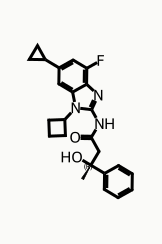 C[C@@](O)(CC(=O)Nc1nc2c(F)cc(C3CC3)cc2n1C1CCC1)c1ccccc1